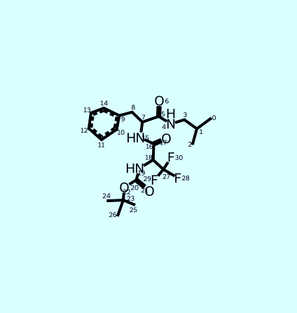 CC(C)CNC(=O)C(Cc1ccccc1)NC(=O)C(NC(=O)OC(C)(C)C)C(F)(F)F